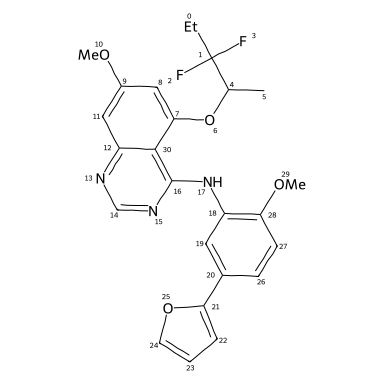 CCC(F)(F)C(C)Oc1cc(OC)cc2ncnc(Nc3cc(-c4ccco4)ccc3OC)c12